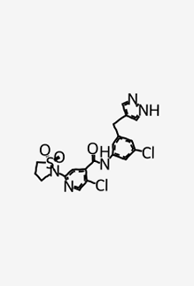 O=C(Nc1cc(Cl)cc(Cc2cn[nH]c2)c1)c1cc(N2CCCS2(=O)=O)ncc1Cl